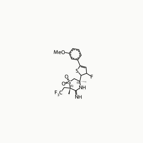 COc1cccc(C2=CC(F)C([C@]3(C)CS(=O)(=O)[C@@](C)(CC(F)(F)F)C(=N)N3)S2)c1